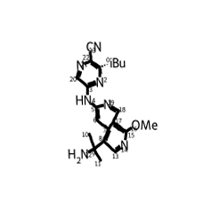 CC[C@@H](C)c1nc(Nc2cc3c(C(C)(C)N)cnc(OC)c3cn2)cnc1C#N